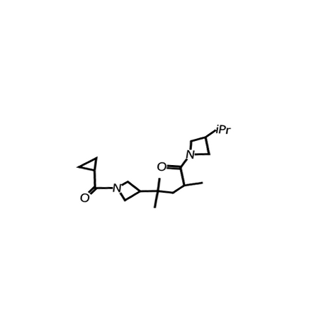 CC(CC(C)(C)C1CN(C(=O)C2CC2)C1)C(=O)N1CC(C(C)C)C1